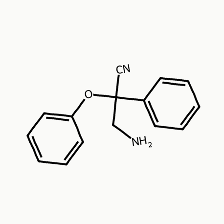 N#CC(CN)(Oc1ccccc1)c1ccccc1